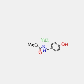 COC(=O)NCc1ccc(O)cc1.Cl